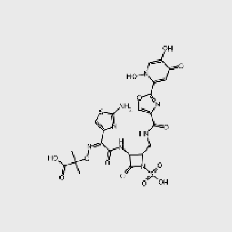 CC(C)(O/N=C(\C(=O)N[C@@H]1C(=O)N(S(=O)(=O)O)[C@@H]1CNC(=O)c1coc(-c2cc(=O)c(O)cn2O)n1)c1csc(N)n1)C(=O)O